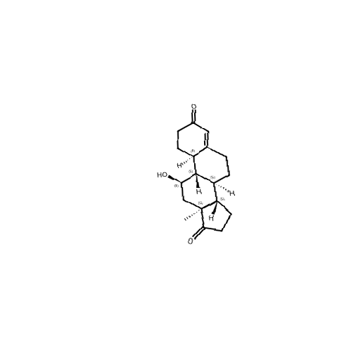 C[C@]12C[C@@H](O)[C@H]3[C@@H](CCC4=CC(=O)CC[C@@H]43)[C@@H]1CCC2=O